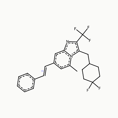 Cc1cc(/C=C/c2ccccc2)cc2nc(C(F)(F)F)c(CC3CCC(F)(F)CC3)n12